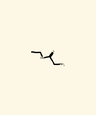 CCNC(=S)CN